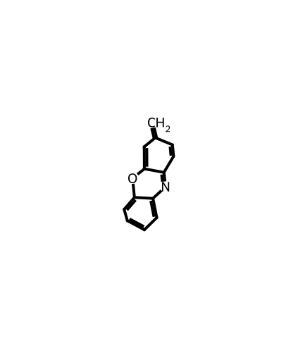 C=c1ccc2c(c1)Oc1ccccc1N=2